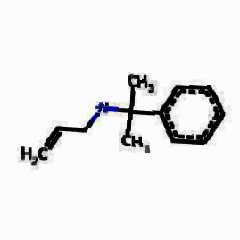 C=CC[N]C(C)(C)c1ccccc1